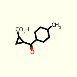 CC1CCC(C(=O)C2CC2C(=O)O)CC1